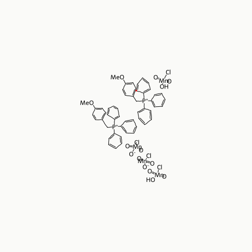 COc1ccc(C[P+](c2ccccc2)(c2ccccc2)c2ccccc2)cc1.COc1ccc(C[P+](c2ccccc2)(c2ccccc2)c2ccccc2)cc1.[O]=[Mn](=[O])([O-])[Cl].[O]=[Mn](=[O])([O-])[Cl].[O]=[Mn](=[O])([OH])[Cl].[O]=[Mn](=[O])([OH])[Cl]